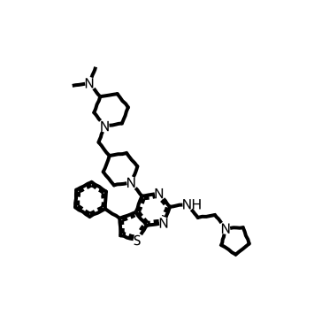 CN(C)C1CCCN(CC2CCN(c3nc(NCCN4CCCC4)nc4scc(-c5ccccc5)c34)CC2)C1